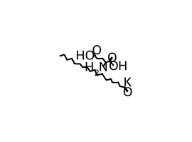 CCCCCCCCCCCCCCCCC[C](=O)[K].NC(CCC(=O)O)C(=O)O